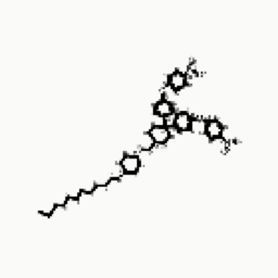 CCCCCCCCCCCC[C@H]1CC[C@H](CCC2CCC(c3ccc(Oc4ccc([N+](=O)[O-])cc4)cc3)(c3ccc(Oc4ccc([N+](=O)[O-])cc4)cc3)CC2)CC1